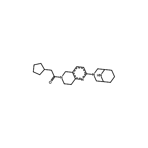 O=C(CC1CCCC1)N1CCc2nc(N3CC4CCCC(C3)N4)ccc2C1